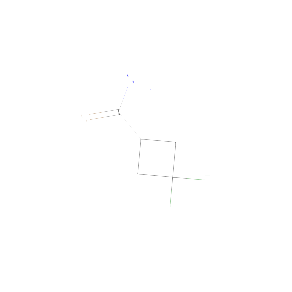 NC(=S)C1CC(F)(F)C1